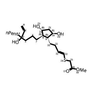 C=CC(O)(CCCCC)CCC[C@@H]1[C@@H](CCC=CSCC(=O)OC)[C@H](O)C[C@H]1O